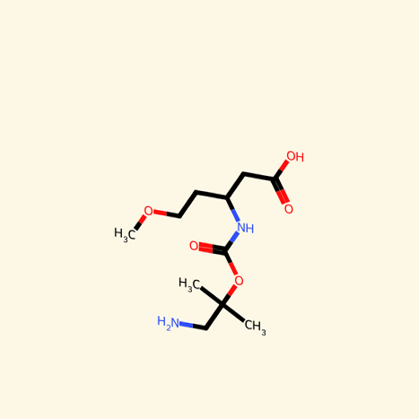 COCCC(CC(=O)O)NC(=O)OC(C)(C)CN